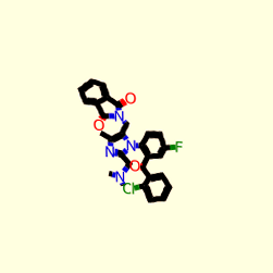 Cc1nc(CN(C)C)n(-c2ccc(F)cc2C(=O)c2ccccc2Cl)c1CN1C(=O)c2ccccc2C1=O